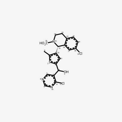 Cc1sc(C(O)c2cncnc2Cl)cc1[C@H]1c2cc(Cl)ccc2CCN1C(=O)O